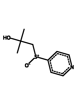 CC(C)(O)C[S+]([O-])c1ccncc1